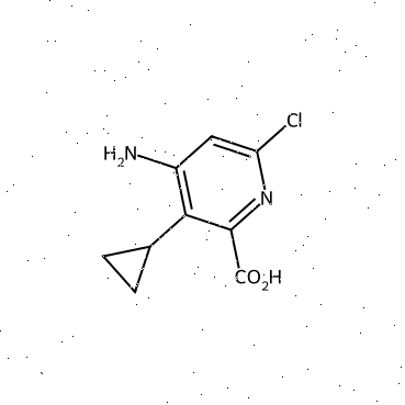 Nc1cc(Cl)nc(C(=O)O)c1C1CC1